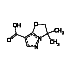 CC1(C)COc2c(C(=O)O)cnn21